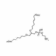 CCCCCCCCCCCCCCCCOCC(COP(=O)(O)OCCN)OCCCCCCCCCCCCCCCC